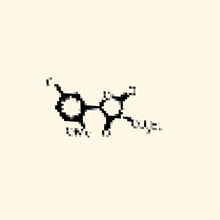 CCOC(=O)N1C(=O)OC(c2cc(Cl)ccc2OC)C1=O